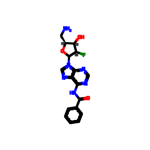 NC[C@H]1OC(n2cnc3c(NC(=O)c4ccccc4)ncnc32)[C@H](F)[C@@H]1O